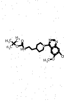 COc1cc2ncnc(N3CCC(CCNC(=O)OC(C)(C)C)CC3)c2cc1OC